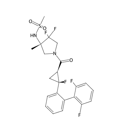 C[C@]1(NS(C)(=O)=O)CN(C(=O)[C@@H]2C[C@@]2(F)c2ccccc2-c2c(F)cccc2F)CC1(F)F